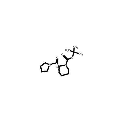 CC(C)(C)OC(=O)N1CCCC[C@@H]1C(=O)N1CCCC1